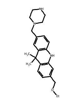 CCOCc1ccc2c(c1)Nc1ccc(CN3CCNCC3)cc1C2(C)C